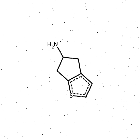 NC1Cc2ccsc2C1